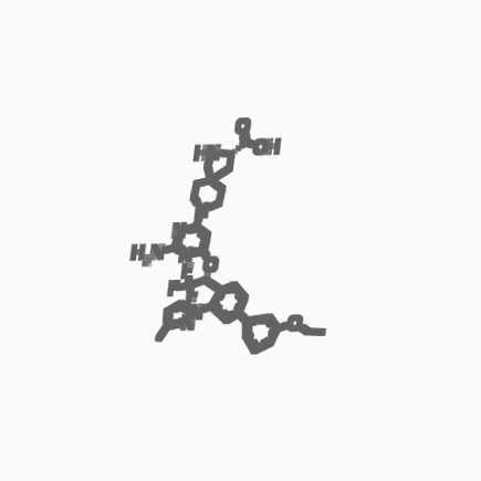 CCOc1cccc(-c2ccc([C@@H](Oc3cc(N4CCC5(CC4)CN[C@H](C(=O)O)C5)nc(N)n3)C(F)(F)F)c(-n3ccc(C)n3)c2)c1